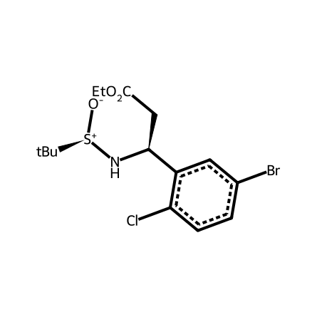 CCOC(=O)C[C@H](N[S@+]([O-])C(C)(C)C)c1cc(Br)ccc1Cl